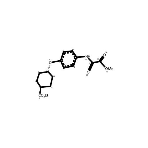 CCOC(=O)[C@H]1CC[C@H](Oc2ccc(NC(=O)C(=O)OC)cc2)CC1